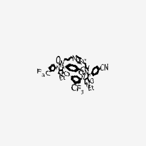 CCN1CC2=C(C1=O)[C@@H](c1ccc(C#N)cc1)N(CCCn1cc[n+](CCCN3C(=O)N(c4cccc(C(F)(F)F)c4)C4=C(C(=O)N(CC)C4)[C@H]3c3ccc(C#N)cc3)c1)C(=O)N2c1cccc(C(F)(F)F)c1